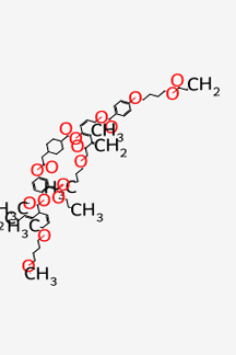 C=CC=CC(/C=C\C(C)OCCCCOC)C(OC)Oc1ccc(OC(=O)CC2CCC(C(=O)OC(/C=C\COC(=O)c3ccc(OCCCCOC(=O)C=C)cc3)=C(/C)C(=C)C(=O)COCCCC)CC2)cc1C(=O)OCCC